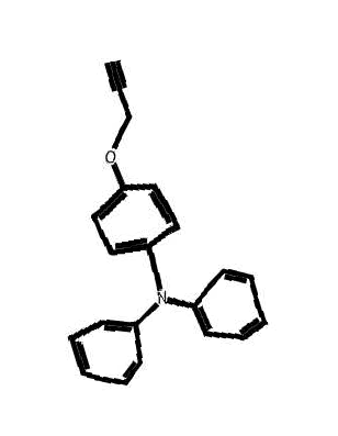 C#CCOc1ccc(N(c2ccccc2)c2ccccc2)cc1